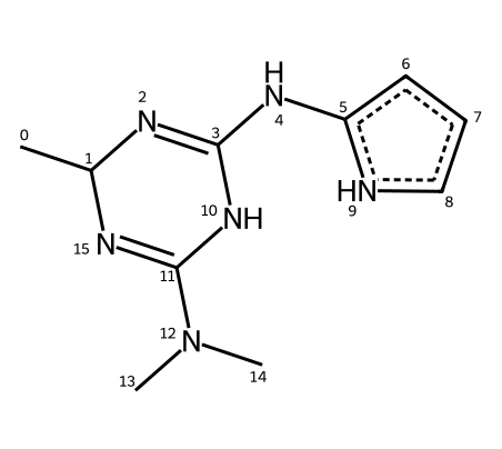 CC1N=C(Nc2ccc[nH]2)NC(N(C)C)=N1